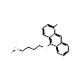 CCNCCCCOc1c2ccccc2cc2c(C)cccc12